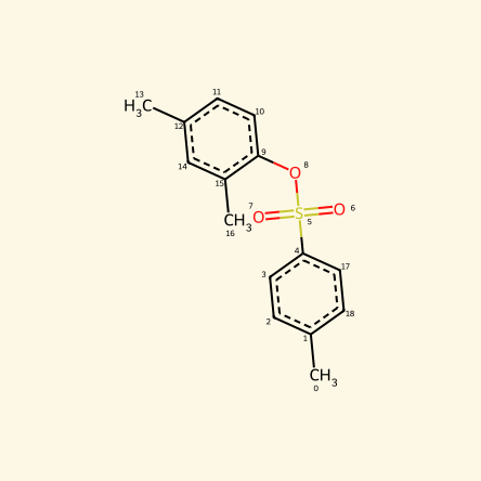 Cc1ccc(S(=O)(=O)Oc2ccc(C)cc2C)cc1